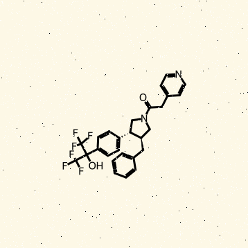 O=C(Cc1ccncc1)N1C[C@@H](Cc2ccccc2)[C@H](c2ccc(C(O)(C(F)(F)F)C(F)(F)F)cc2)C1